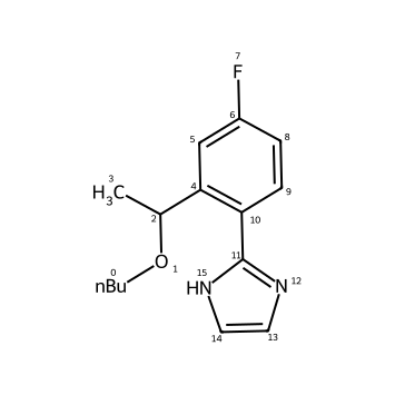 CCCCOC(C)c1cc(F)ccc1-c1ncc[nH]1